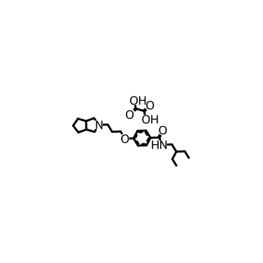 CCC(CC)CNC(=O)c1ccc(OCCCN2CC3CCCC3C2)cc1.O=C(O)C(=O)O